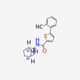 N#Cc1ccccc1-c1ccc(C(=O)N[C@@H]2C[C@H]3CC[C@@H]2N3)s1